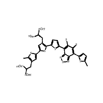 CCCCCCCCCCC(CCCCCCCC)Cc1cc(-c2cc(CC(CCCCCCCC)CCCCCCCCCC)c(-c3ccc(-c4c(F)c(F)c(-c5ccc(C)s5)c5nsnc45)s3)s2)sc1C